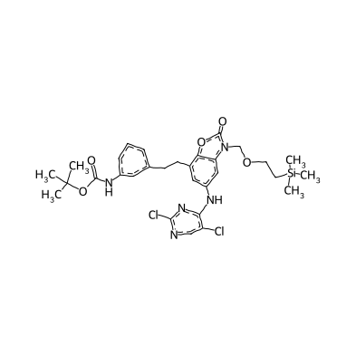 CC(C)(C)OC(=O)Nc1cccc(CCc2cc(Nc3nc(Cl)ncc3Cl)cc3c2oc(=O)n3COCC[Si](C)(C)C)c1